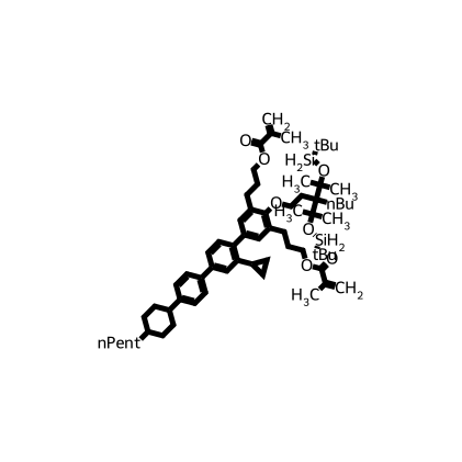 C=C(C)C(=O)OCCCc1cc(-c2ccc(-c3ccc(C4CCC(CCCCC)CC4)cc3)cc2C2CC2)cc(CCCOC(=O)C(=C)C)c1OCCC(CCCC)(C(C)(C)O[SiH2]C(C)(C)C)C(C)(C)O[SiH2]C(C)(C)C